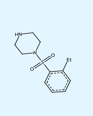 CCc1ccccc1S(=O)(=O)N1CCNCC1